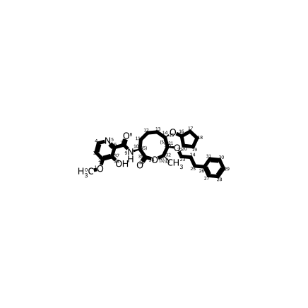 COc1ccnc(C(=O)N[C@H]2CCC[C@H](OC3CCCC3)[C@@H](OCCCc3ccccc3)[C@H](C)OC2=O)c1O